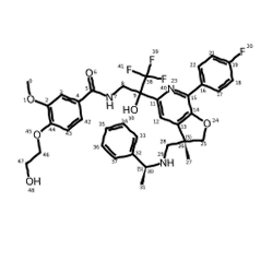 COc1cc(C(=O)NCC(O)(c2cc3c(c(-c4ccc(F)cc4)n2)OC[C@]3(C)CN[C@@H](C)c2ccccc2)C(F)(F)F)ccc1OCCO